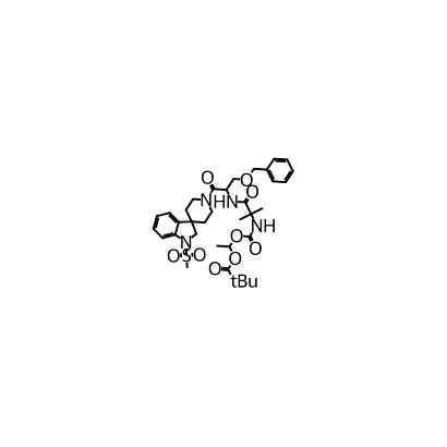 CC(OC(=O)NC(C)(C)C(=O)NC(COCc1ccccc1)C(=O)N1CCC2(CC1)CN(S(C)(=O)=O)c1ccccc12)OC(=O)C(C)(C)C